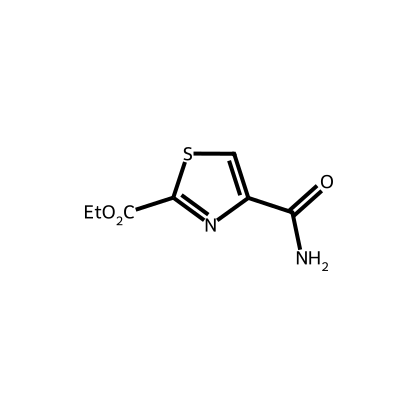 CCOC(=O)c1nc(C(N)=O)cs1